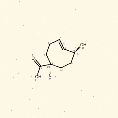 C[C@]1(C(=O)O)CC/C=C/[C@@H](O)CC1